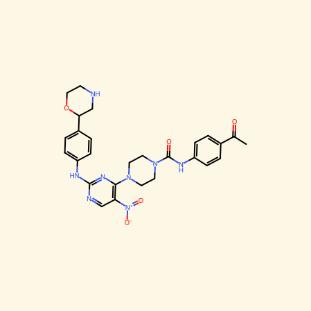 CC(=O)c1ccc(NC(=O)N2CCN(c3nc(Nc4ccc(C5CNCCO5)cc4)ncc3[N+](=O)[O-])CC2)cc1